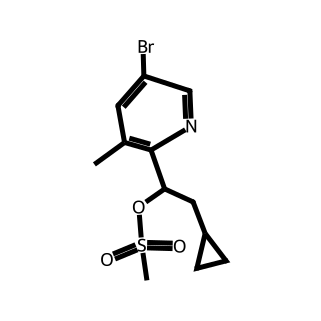 Cc1cc(Br)cnc1C(CC1CC1)OS(C)(=O)=O